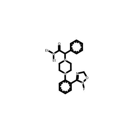 CCN(CC)C(=O)C(c1ccccc1)N1CCN(c2ccccc2C2=NCON2F)CC1